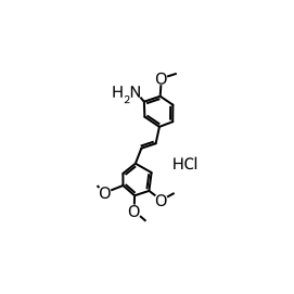 COc1ccc(C=Cc2cc(OC)c(OC)c(OC)c2)cc1N.Cl